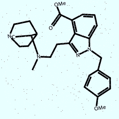 COC(=O)c1cccc2c1c(CCN(C)C1CN3CCC1CC3)nn2Cc1ccc(OC)cc1